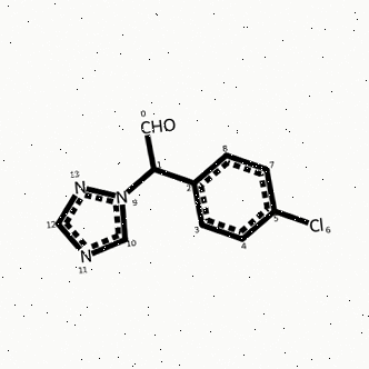 O=CC(c1ccc(Cl)cc1)n1cncn1